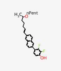 CCCCCOC(C)CCCC=Cc1ccc2cc(-c3ccc(O)c(F)c3F)ccc2c1